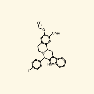 COc1cc2c(cc1OCC(F)(F)F)CCN1C2Cc2c([nH]c3ccccc23)C1c1ccc(F)cc1